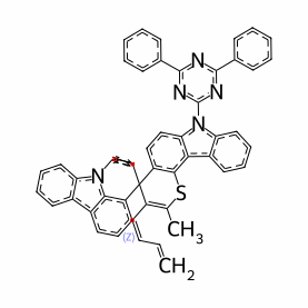 C=C/C=C\C1=C(C)Sc2c(ccc3c2c2ccccc2n3-c2nc(-c3ccccc3)nc(-c3ccccc3)n2)C12c1ccccc1-n1c3ccccc3c3cccc2c31